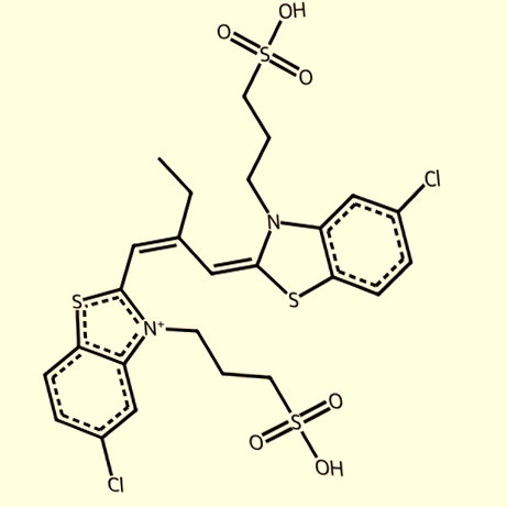 CCC(=Cc1sc2ccc(Cl)cc2[n+]1CCCS(=O)(=O)O)C=C1Sc2ccc(Cl)cc2N1CCCS(=O)(=O)O